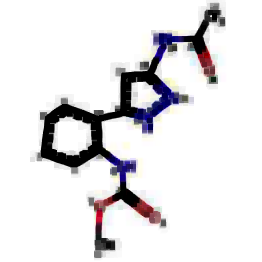 CC(C)(C)OC(=O)Nc1ccccc1-c1cc(NC(=O)C(F)(F)F)n[nH]1